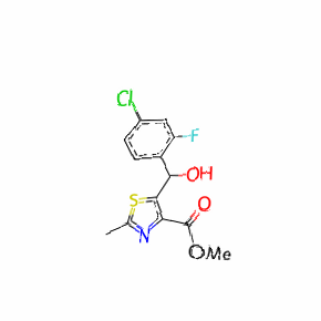 COC(=O)c1nc(C)sc1C(O)c1ccc(Cl)cc1F